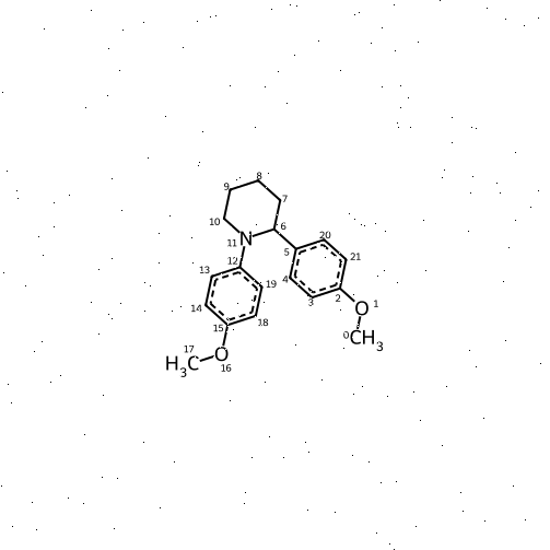 COc1ccc(C2CCCCN2c2ccc(OC)cc2)cc1